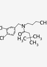 CCCCN(Cc1ccc(Cl)c(Cl)c1)C(=O)CC(C)(C)C